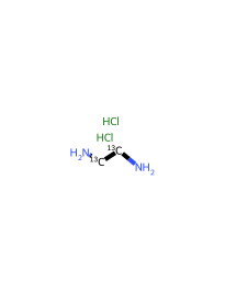 Cl.Cl.N[13CH2][13CH2]N